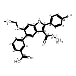 CCOc1cc2oc(-c3ccc(F)cc3)c(C(=O)NC)c2cc1-c1cccc(C(=O)O)c1